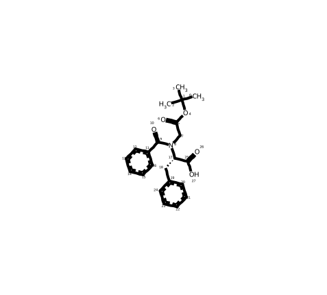 CC(C)(C)OC(=O)CN(C(=O)c1ccccc1)[C@@H](Cc1ccccc1)C(=O)O